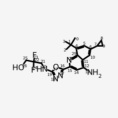 CC(C)(C)c1cc(C2CC2)cc2c(N)cc(-c3nnc(NCC(F)(F)CO)o3)nc12